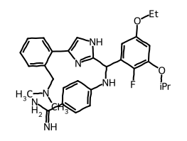 CCOc1cc(OC(C)C)c(F)c(C(Nc2ccc(C(=N)N)cc2)c2nc(-c3ccccc3CN(C)C)c[nH]2)c1